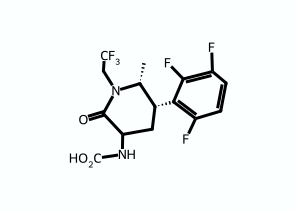 C[C@@H]1[C@H](c2c(F)ccc(F)c2F)CC(NC(=O)O)C(=O)N1CC(F)(F)F